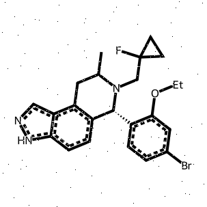 CCOc1cc(Br)ccc1[C@@H]1c2ccc3[nH]ncc3c2CC(C)N1CC1(F)CC1